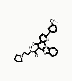 Cc1cccc(-c2ccc3c(=O)c(C(=O)NCCN4CCCC4)c4sc5ccccc5n4c3n2)c1